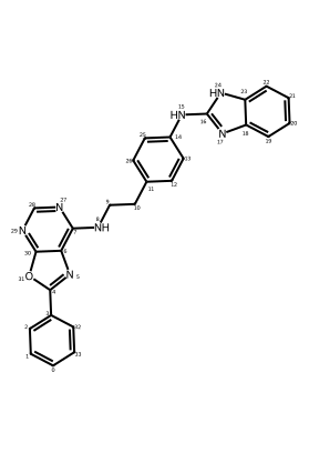 c1ccc(-c2nc3c(NCCc4ccc(Nc5nc6ccccc6[nH]5)cc4)ncnc3o2)cc1